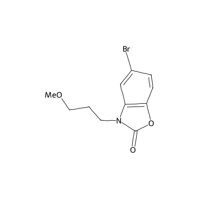 COCCCn1c(=O)oc2ccc(Br)cc21